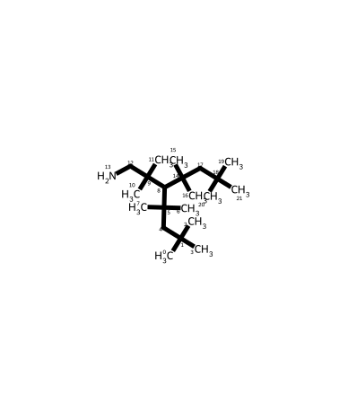 CC(C)(C)CC(C)(C)C(C(C)(C)CN)C(C)(C)CC(C)(C)C